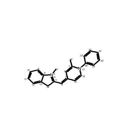 CC1=C/C(=C\C2=[N+](C)c3ccccc3C2)C=CN1c1ccccc1